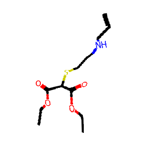 C=CCNCCSC(C(=O)OCC)C(=O)OCC